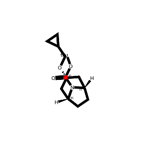 CC(C)(C)OC(=O)N1[C@@H]2CC[C@H]1C[C@@H](OCC1CC1)C2